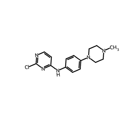 CN1CCN(c2ccc(Nc3ccnc(Cl)n3)cc2)CC1